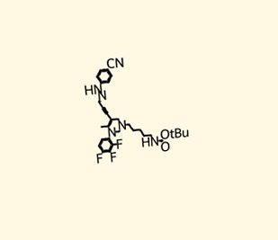 CC1=C(C#CC=NNc2ccc(C#N)cc2)CN(CCCCCNC(=O)OC(C)(C)C)CN1c1ccc(F)c(F)c1F